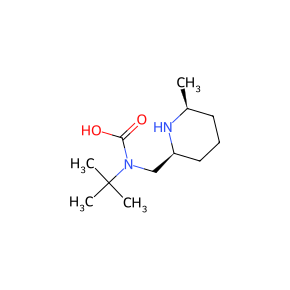 C[C@H]1CCC[C@@H](CN(C(=O)O)C(C)(C)C)N1